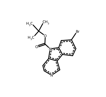 CC(C)(C)OC(=O)n1c2ccncc2c2ccc(Br)cc21